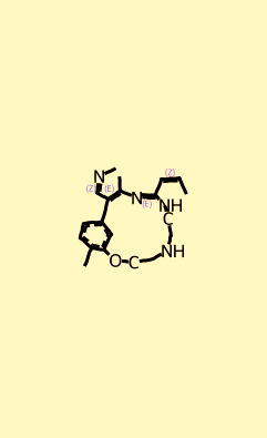 C\C=C/C1=N\C(C)=C(\C=N/C)c2ccc(C)c(c2)OCCNCCN1